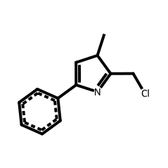 CC1C=C(c2ccccc2)N=C1CCl